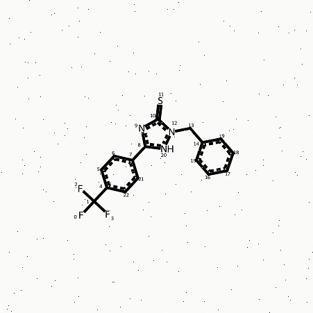 FC(F)(F)c1ccc(-c2nc(=S)n(Cc3ccccc3)[nH]2)cc1